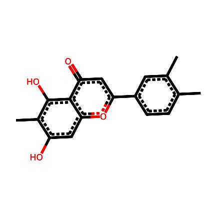 Cc1ccc(-c2cc(=O)c3c(O)c(C)c(O)cc3o2)cc1C